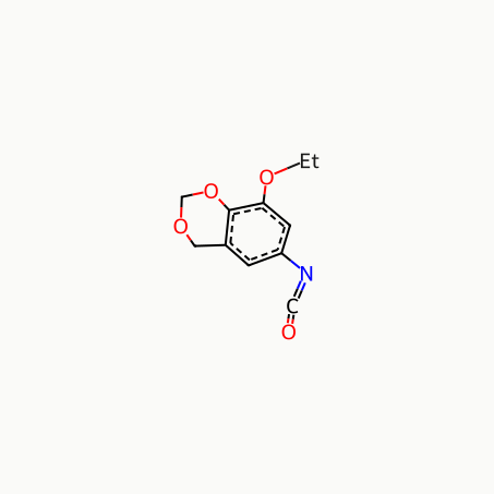 CCOc1cc(N=C=O)cc2c1OCOC2